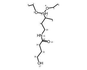 CCO[SiH](OCC)C(C)CCNC(=O)CCCO